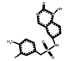 CCCn1c(=O)ncc2cc(NS(=O)(=O)Cc3ccc(C)c(F)c3)ccc21